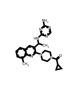 Cc1cccc2cc(C(C)Nc3ncnc(N)n3)c(N3CCN(C(=O)C4CC4)CC3)nc12